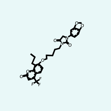 CCCc1c(OCCCCCN2C(=O)CN(c3ccc4c(c3)OCO4)C2=O)ccc2c(C(F)(F)F)cc(=O)oc12